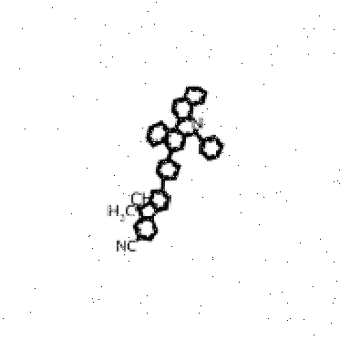 CC1(C)c2cc(C#N)ccc2-c2ccc(-c3ccc(-c4cc5c(-c6ccccc6)nc6c7ccccc7ccc6c5c5ccccc45)cc3)cc21